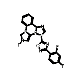 Fc1ccc(-c2noc(N3C=NC4c5ccccc5N5CN(F)C=C5N43)n2)c(F)c1